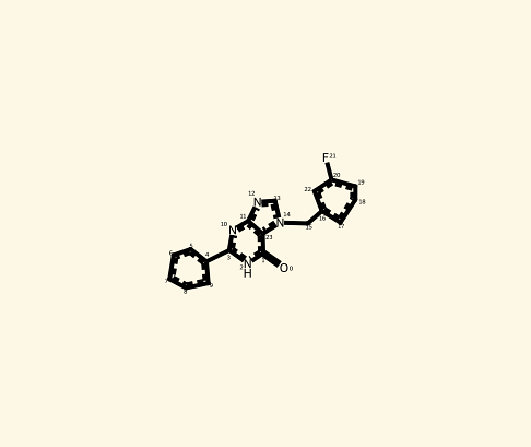 O=c1[nH]c(-c2ccccc2)nc2ncn(Cc3cccc(F)c3)c12